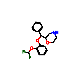 FC(F)Oc1ccccc1O[C@@H](c1ccccc1)C1CNCCO1